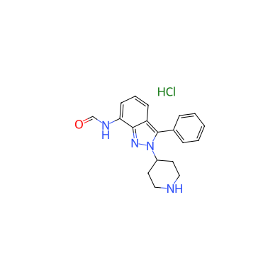 Cl.O=CNc1cccc2c(-c3ccccc3)n(C3CCNCC3)nc12